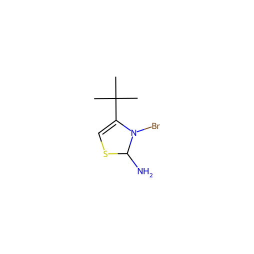 CC(C)(C)C1=CSC(N)N1Br